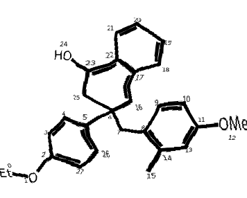 CCOc1ccc(C2(Cc3ccc(OC)cc3C)C=c3ccccc3=C(O)C2)cc1